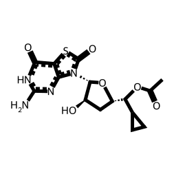 CC(=O)OC(C1CC1)[C@@H]1C[C@@H](O)[C@H](n2c(=O)sc3c(=O)[nH]c(N)nc32)O1